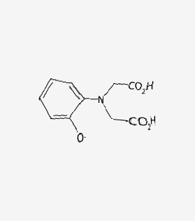 [O]c1ccccc1N(CC(=O)O)CC(=O)O